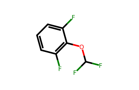 Fc1cccc(F)c1OC(F)F